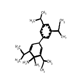 CC(C)C1=CC(c2cc(C(C)C)cc(C(C)C)c2)C=C(C(C)C)C1(N)N